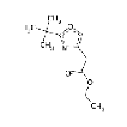 CCOC(=O)Cc1coc(C(C)(C)C)n1